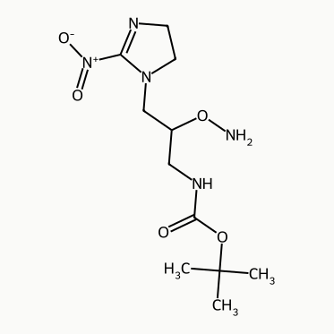 CC(C)(C)OC(=O)NCC(CN1CCN=C1[N+](=O)[O-])ON